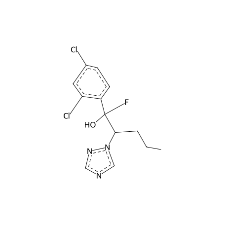 CCCC(n1cncn1)C(O)(F)c1ccc(Cl)cc1Cl